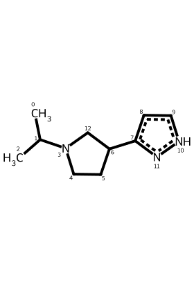 CC(C)N1CCC(c2cc[nH]n2)C1